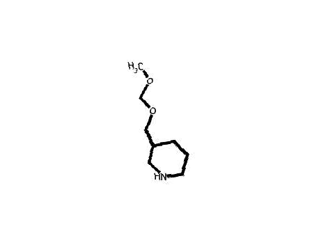 COCOCC1CCCNC1